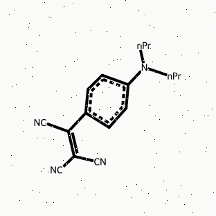 CCCN(CCC)c1ccc(C(C#N)=C(C#N)C#N)cc1